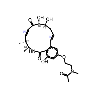 CC(=O)N(C)CCOc1cc(O)c2c(c1)/C=C/C[C@H](O)[C@H](O)C(=O)/C=C\[C@@H](C)[C@H](C)NC2=O